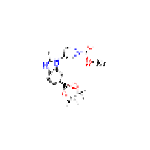 Cc1nc2ccc(B3OC(C)(C)C(C)(C)O3)cc2n1[C@@H]1CCN(C(=O)OC(C)(C)C)C1